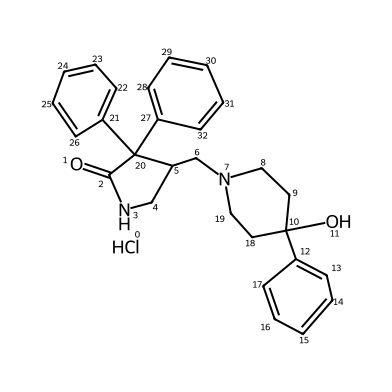 Cl.O=C1NCC(CN2CCC(O)(c3ccccc3)CC2)C1(c1ccccc1)c1ccccc1